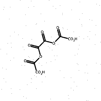 O=C(O)C(=O)OC(=O)C(=O)OC(=O)C(=O)O